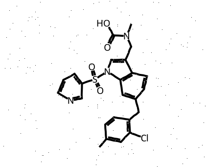 Cc1ccc(Cc2ccc3c(CN(C)C(=O)O)cn(S(=O)(=O)c4cccnc4)c3c2)c(Cl)c1